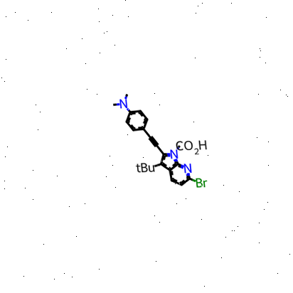 CN(C)c1ccc(C#Cc2c(C(C)(C)C)c3ccc(Br)nc3n2C(=O)O)cc1